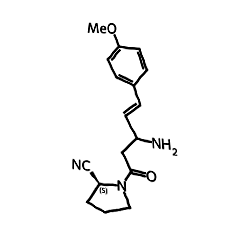 COc1ccc(C=CC(N)CC(=O)N2CCC[C@H]2C#N)cc1